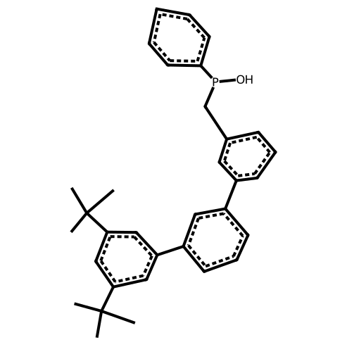 CC(C)(C)c1cc(-c2cccc(-c3cccc(CP(O)c4ccccc4)c3)c2)cc(C(C)(C)C)c1